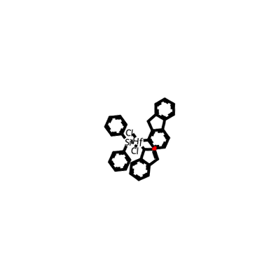 [Cl][Hf]([Cl])([c]1cccc2c1Cc1ccccc1-2)([CH]1C=Cc2ccccc21)=[Si](c1ccccc1)c1ccccc1